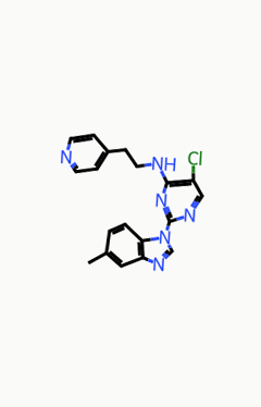 Cc1ccc2c(c1)ncn2-c1ncc(Cl)c(NCCc2ccncc2)n1